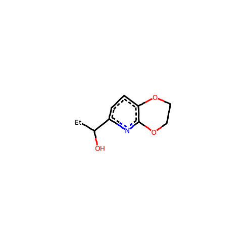 CCC(O)c1ccc2c(n1)OCCO2